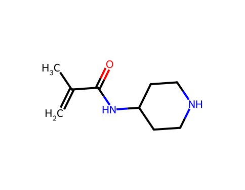 C=C(C)C(=O)NC1CCNCC1